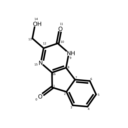 O=C1c2ccccc2-c2[nH]c(=O)c(CO)nc21